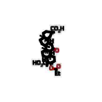 CCC(=O)O[C@H]1CC[C@@]2(C)[C@@H](CC[C@]3(C)[C@@H]2C(=O)C=C2[C@@H]4C[C@@](C)(C(=O)O)CC[C@]4(C)CC[C@]23C)[C@]1(C)C(=O)O